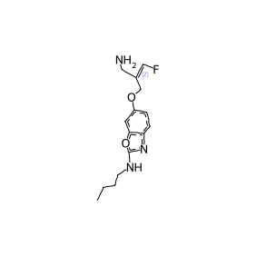 CCCCNc1nc2ccc(OC/C(=C\F)CN)cc2o1